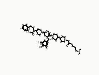 CN(C)CCCOC(=O)CN1CCC(C2CCN(C(=O)[C@@H](Cc3cc(Cl)c(O)c(C(F)(F)F)c3)OC(=O)N3CCC(N4CCc5ccccc5NC4=O)CC3)CC2)CC1